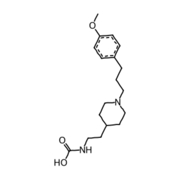 COc1ccc(CCCN2CCC(CCNC(=O)O)CC2)cc1